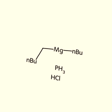 CCCC[CH2][Mg][CH2]CCC.Cl.P